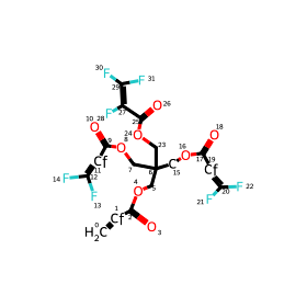 [CH2]=[Cf][C](=O)OCC(CO[C](=O)[Cf]=[C](F)F)(CO[C](=O)[Cf]=[C](F)F)COC(=O)C(F)=C(F)F